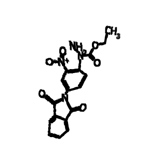 CCOC(=O)N(N)c1ccc(N2C(=O)c3ccccc3C2=O)cc1[N+](=O)[O-]